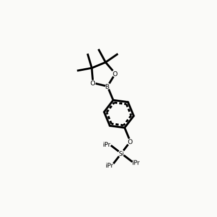 CC(C)[Si](Oc1ccc(B2OC(C)(C)C(C)(C)O2)cc1)(C(C)C)C(C)C